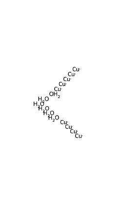 O.O.O.O.O.O.[Cu].[Cu].[Cu].[Cu].[Cu].[Cu].[Cu].[Cu].[Cu]